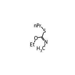 CCCSC(=NC)OCC